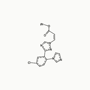 CC(C)OC(=O)/C=C\n1cnc(-c2cc(Cl)ccc2-n2ccnc2)n1